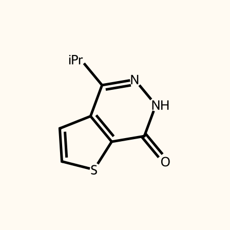 CC(C)c1n[nH]c(=O)c2sccc12